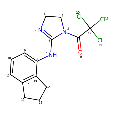 O=C(N1CCN=C1Nc1cccc2c1CCC2)C(Cl)(Cl)Cl